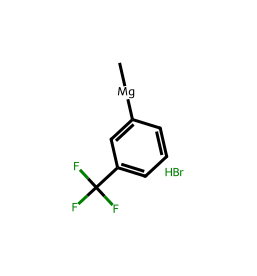 Br.[CH3][Mg][c]1cccc(C(F)(F)F)c1